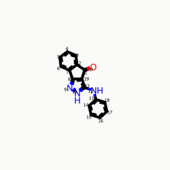 O=C1c2ccccc2-c2n[nH]c(Nc3ccccc3)c21